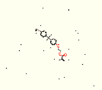 C=C(C)C(=O)OCCOc1ccc(C(C)(C)c2ccc(C(C)C)cc2)cc1